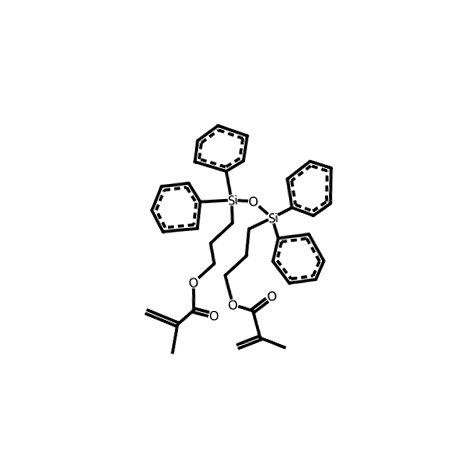 C=C(C)C(=O)OCCC[Si](O[Si](CCCOC(=O)C(=C)C)(c1ccccc1)c1ccccc1)(c1ccccc1)c1ccccc1